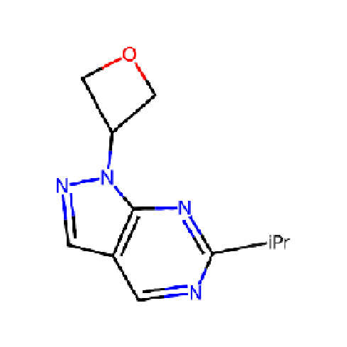 CC(C)c1ncc2cnn(C3COC3)c2n1